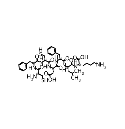 CC(C)C[C@H](NC(=O)[C@H](Cc1ccccc1)NC(=O)[C@H](CC(=O)O)NC(=O)[C@H](CS)NC(=O)[C@H](Cc1ccccc1)NC(=O)[C@@H](N)CS)C(=O)N[C@@H](CCCCN)C(=O)O